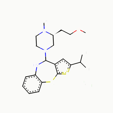 COCC[C@H]1CN(C2Nc3ccccc3Sc3sc(C(C)C)cc32)CCN1C.Cl.Cl